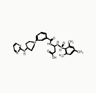 Cc1cc(C)c(S(=O)(=O)NC(CC(=O)O)NC(=O)c2cccc(N3CCC(Nc4ncccn4)CC3)c2)c(C)c1